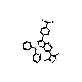 Cc1noc(C)c1-c1cnc2c(-c3ccc(C(=O)O)cc3)cn([C@@H](c3ccccc3)c3ccccn3)c2c1